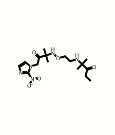 CCC(=O)C(C)(C)NCCONC(C)(C)C(=O)Cn1ccnc1[N+](=O)[O-]